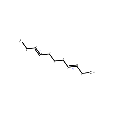 ClC/C=C/CCC/C=C/CCl